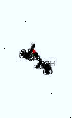 CCCC1CC(CC(O)CCCC2CC(CC)OC(c3cc(S(C)(=O)=O)ccc3O)O2)OC(c2cc(S(C)(=O)=O)ccc2O)O1